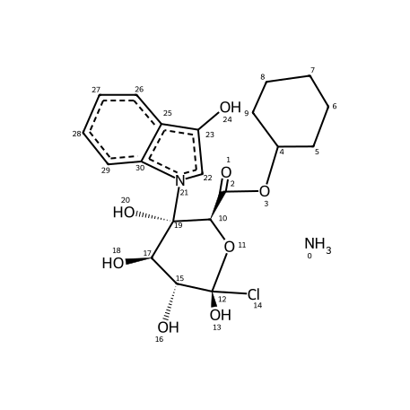 N.O=C(OC1CCCCC1)[C@H]1O[C@](O)(Cl)[C@H](O)[C@@H](O)[C@@]1(O)n1cc(O)c2ccccc21